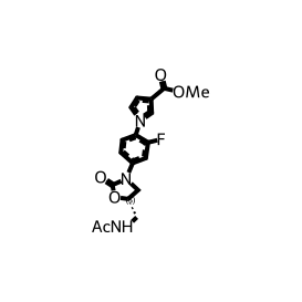 COC(=O)c1ccn(-c2ccc(N3C[C@H](CNC(C)=O)OC3=O)cc2F)c1